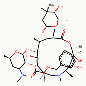 CC[C@H]1OC(=O)[C@H](C)[C@@H](O[C@H]2C[C@@](C)(OC)[C@@H](O)[C@H](C)O2)[C@H](C)[C@@H](O[C@@H]2O[C@H](C)C[C@H](N(C)C)[C@H]2OC(=O)[C@@H](C)OCc2ccccc2)[C@](C)(O)C[C@@H](C)CN(C)[C@H](C)[C@@H](O)[C@]1(C)O